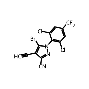 C#Cc1c(C#N)nn(-c2c(Cl)cc(C(F)(F)F)cc2Cl)c1Br